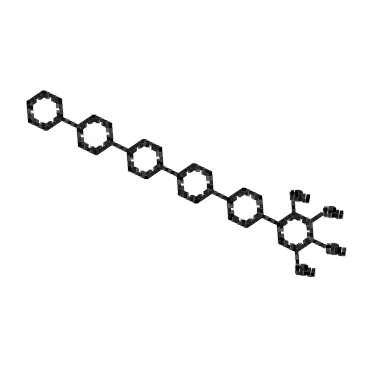 CC(C)(C)c1cc(-c2ccc(-c3ccc(-c4ccc(-c5ccc(-c6ccccc6)cc5)cc4)cc3)cc2)c(C(C)(C)C)c(C(C)(C)C)c1C(C)(C)C